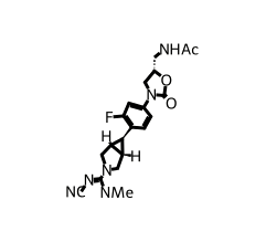 CN/C(=N\C#N)N1C[C@@H]2[C@H](C1)[C@H]2c1ccc(N2C[C@H](CNC(C)=O)OC2=O)cc1F